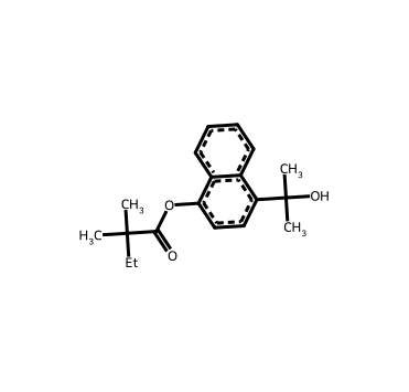 CCC(C)(C)C(=O)Oc1ccc(C(C)(C)O)c2ccccc12